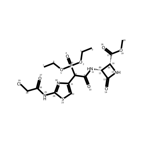 CCOP(=O)(OCC)C(C(=O)N[C@H]1C(=O)N[C@H]1C(=O)OC)c1csc(NC(=O)CCl)n1